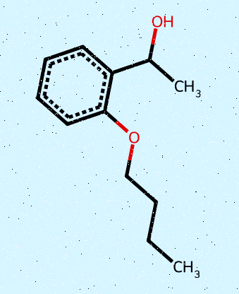 CCCCOc1ccccc1C(C)O